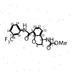 COC(=O)N[C@H]1CCOc2c(C(=O)Nc3cccc(C(F)(F)F)c3)cccc21